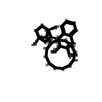 O=C(O)C1=Nc2ccccc2N([C@@H]2C[C@@H]3CC[C@H]2N3C2CCCCCCCCCCC2)C1O